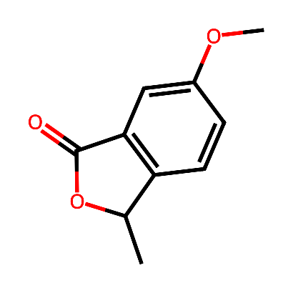 COc1ccc2c(c1)C(=O)OC2C